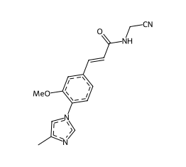 COc1cc(C=CC(=O)NCC#N)ccc1-n1cnc(C)c1